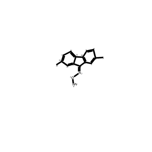 CCCON=C1c2cc(C)ccc2-c2ccc(C)cc21